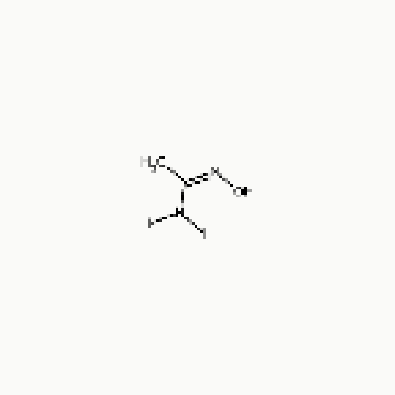 C/C(=N/O)N(I)I